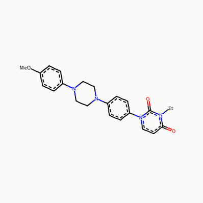 CCn1c(=O)ccn(-c2ccc(N3CCN(c4ccc(OC)cc4)CC3)cc2)c1=O